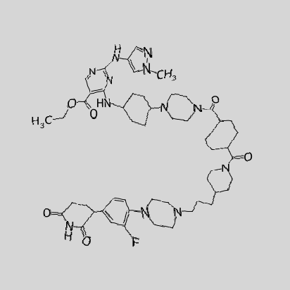 CCOC(=O)c1cnc(Nc2cnn(C)c2)nc1NC1CCC(N2CCN(C(=O)C3CCC(C(=O)N4CCC(CCCN5CCN(c6ccc(C7CCC(=O)NC7=O)cc6F)CC5)CC4)CC3)CC2)CC1